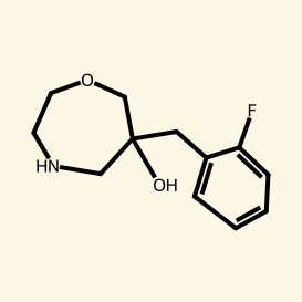 OC1(Cc2ccccc2F)CNCCOC1